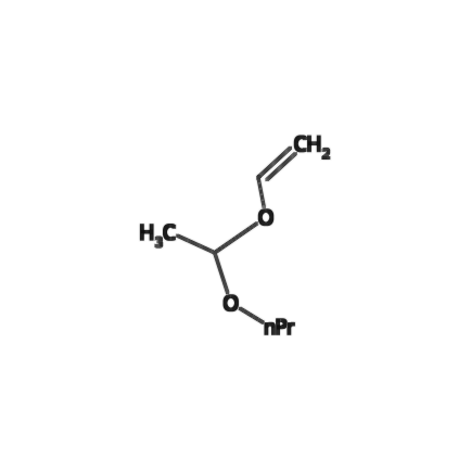 C=COC(C)OCCC